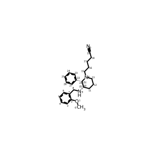 COc1ccccc1CN[C@H]1CCCN(CCCCC#N)[C@H]1c1ccccc1